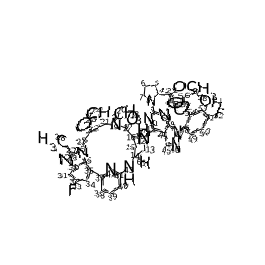 COC(=O)[C@@H]1CCCN1c1nc(N2C[C@@H]3C[C@H]2C(=O)N(C)C[C@H](OC)Cn2c(C)nc4cc(F)cc(c42)-c2cccc(n2)N3)c2cnn(-c3ccc(F)cc3OCCO)c2n1